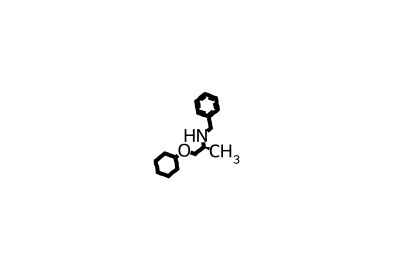 C[C@@H](COC1CCCCC1)NCc1ccccc1